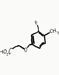 Cc1ccc(OCC(=O)O)cc1F